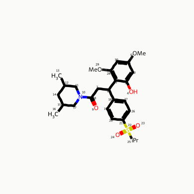 COc1cc(O)c(C(CC(=O)N2CC(C)CC(C)C2)c2ccc(S(=O)(=O)C(C)C)cc2)c(OC)c1